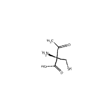 CC(=O)[C@](N)(CS)C(=O)O